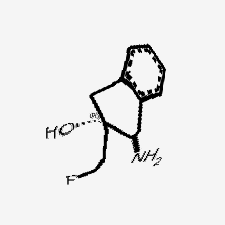 NC1c2ccccc2C[C@]1(O)CF